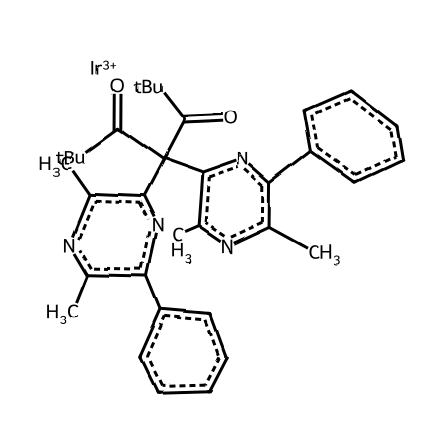 Cc1nc(C)c(C(C(=O)C(C)(C)C)(C(=O)C(C)(C)C)c2nc(-c3ccccc3)c(C)nc2C)nc1-c1ccccc1.[Ir+3]